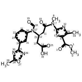 COC(=O)c1sc(N(C)C(=O)C[C@@H](CC(=O)O)N(C=O)c2cccc(-c3noc(C)n3)c2)nc1C